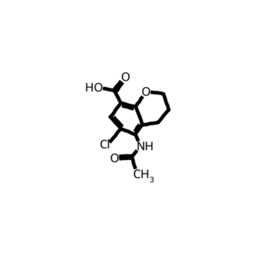 CC(=O)Nc1c(Cl)cc(C(=O)O)c2c1CCCO2